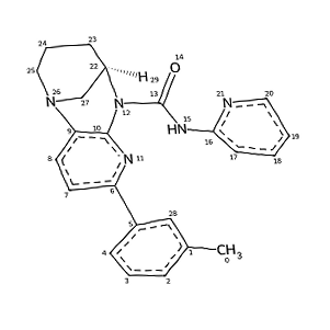 Cc1cccc(-c2ccc3c(n2)N(C(=O)Nc2ccccn2)[C@@H]2CCCN3C2)c1